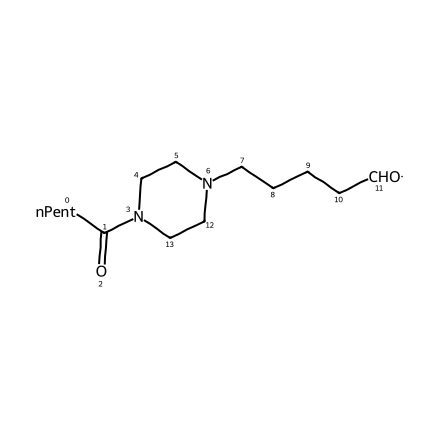 CCCCCC(=O)N1CCN(CCCC[C]=O)CC1